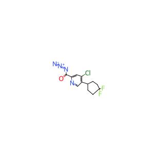 [N-]=[N+]=NC(=O)c1cc(Cl)c(C2CCC(F)(F)CC2)cn1